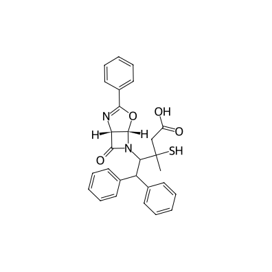 CC(S)(CC(=O)O)C(C(c1ccccc1)c1ccccc1)N1C(=O)[C@@H]2N=C(c3ccccc3)O[C@@H]21